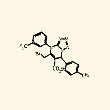 CCOC(=O)C1=C(CBr)N(c2cccc(C(F)(F)F)c2)c2nnnn2C1c1ccc(C#N)cc1